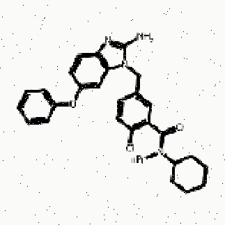 CCCN(C(=O)c1cc(Cn2c(N)nc3ccc(Oc4ccccc4)cc32)ccc1Cl)C1CCCCC1